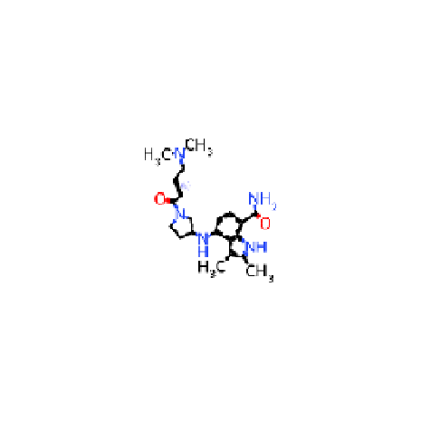 Cc1[nH]c2c(C(N)=O)ccc(NC3CCN(C(=O)/C=C/CN(C)C)C3)c2c1C